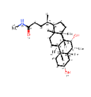 CC[C@H]1[C@@H](O)[C@H]2[C@@H]3CC[C@H]([C@H](C)CCC(=O)NC#N)C3(C)CC[C@@H]2[C@@]2(C)CC[C@@H](O)C[C@@H]12